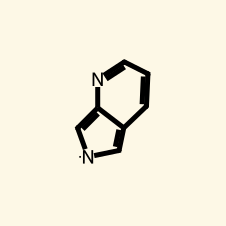 C1=c2cccnc2=C[N]1